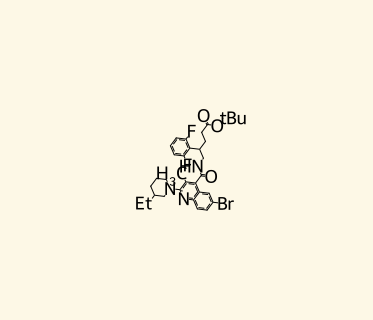 CCC1CCCN(c2nc3ccc(Br)cc3c(C(=O)NCC(CCC(=O)OC(C)(C)C)c3c(F)cccc3F)c2C)C1